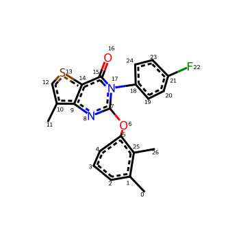 Cc1cccc(Oc2nc3c(C)csc3c(=O)n2-c2ccc(F)cc2)c1C